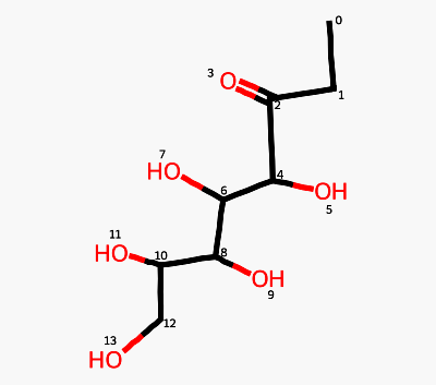 CCC(=O)C(O)C(O)C(O)C(O)CO